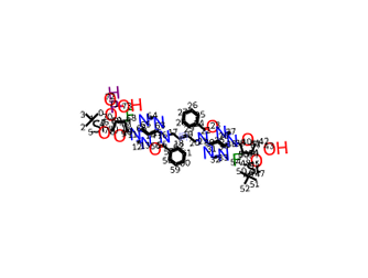 CC(C)(C)[Si](C)(C)O[C@H]1O[C@@H](n2cnc3c(N(C/C=C/CN(C(=O)c4ccccc4)c4ncnc5c4ncn5C4O[C@H](CO)[C@@H](O[Si](C)(C)C(C)(C)C)[C@H]4F)C(=O)c4ccccc4)ncnc32)[C@H](F)[C@@H]1O[PH](=O)O